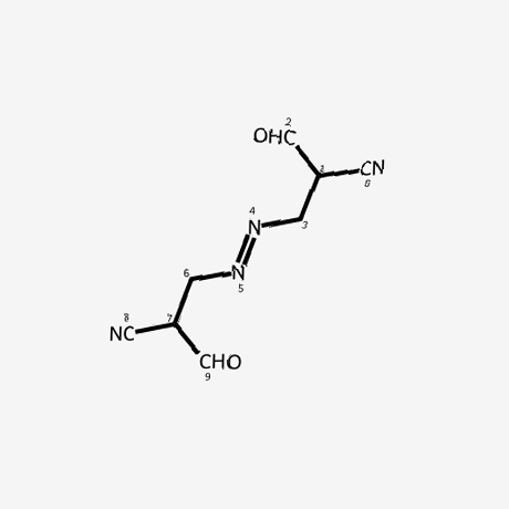 N#CC(C=O)CN=NCC(C#N)C=O